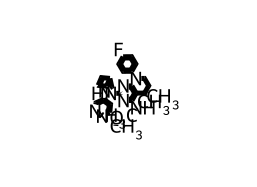 CNc1nc(NC2C3=CC2CN3c2cnnc(OC)c2)nc2c1C(C)(C)CCN2c1ccc(F)cc1